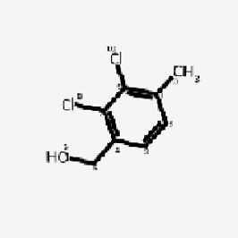 Cc1ccc(CO)c(Cl)c1Cl